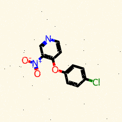 O=[N+]([O-])c1cnccc1Oc1ccc(Cl)cc1